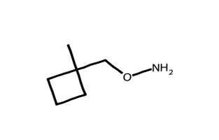 CC1(CON)CCC1